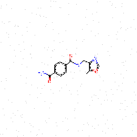 Cc1ocnc1CNC(=O)c1ccc(C(N)=O)cc1